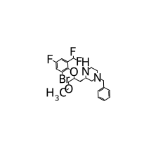 COCC(C[C@@H]1CN(Cc2ccccc2)CCN1)Oc1c(Br)cc(F)cc1C(F)F